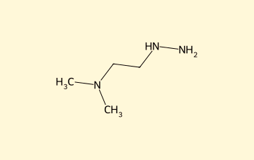 CN(C)CCNN